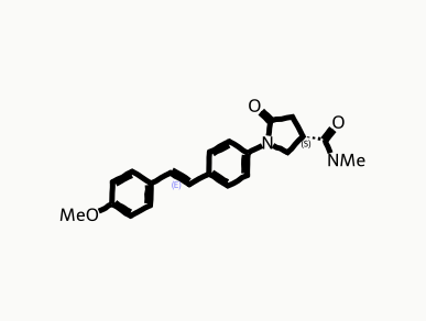 CNC(=O)[C@H]1CC(=O)N(c2ccc(/C=C/c3ccc(OC)cc3)cc2)C1